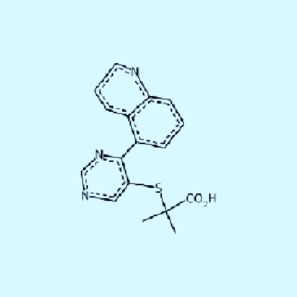 CC(C)(Sc1cncnc1-c1cccc2ncccc12)C(=O)O